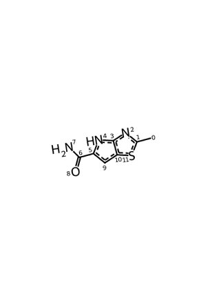 Cc1nc2[nH]c(C(N)=O)cc2s1